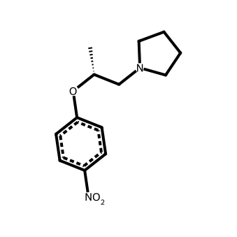 C[C@H](CN1CCCC1)Oc1ccc([N+](=O)[O-])cc1